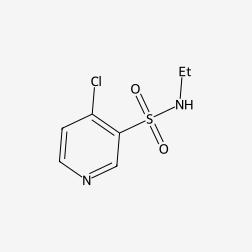 CCNS(=O)(=O)c1cnccc1Cl